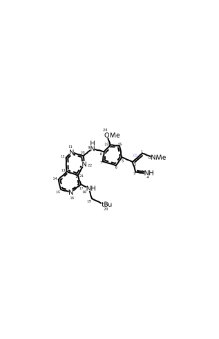 CN/C=C(\C=N)c1ccc(Nc2ncc3ccnc(NCC(C)(C)C)c3n2)c(OC)c1